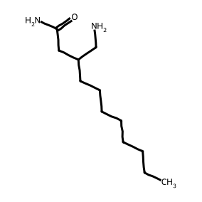 CCCCCCCCC(CN)CC(N)=O